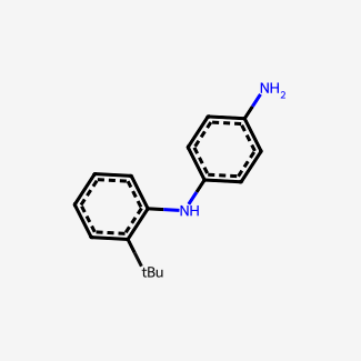 CC(C)(C)c1ccccc1Nc1ccc(N)cc1